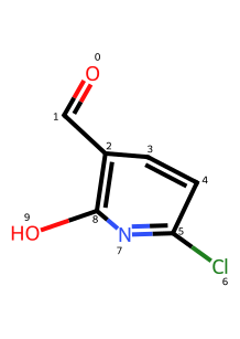 O=Cc1ccc(Cl)nc1O